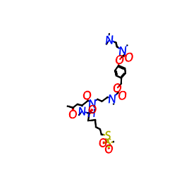 CC(=O)CC(C(=O)NCCCN(C)C(=O)OCc1ccc(OC(=O)N(C)CCN(C)C)cc1)N(C)C(=O)CCCCCSS(C)(=O)=O